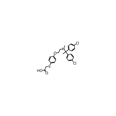 CN(CCOc1ccc(SCC(=O)O)cc1)C(C)(c1ccc(Cl)cc1)c1ccc(Cl)cc1